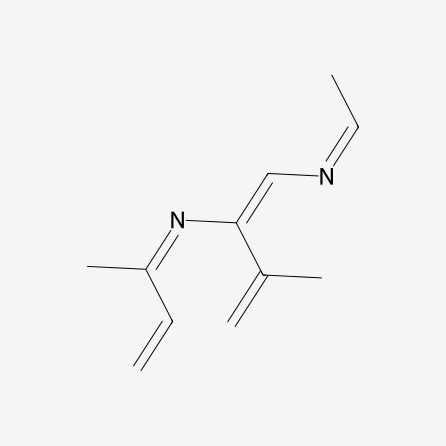 C=C\C(C)=N/C(=C/N=C\C)C(=C)C